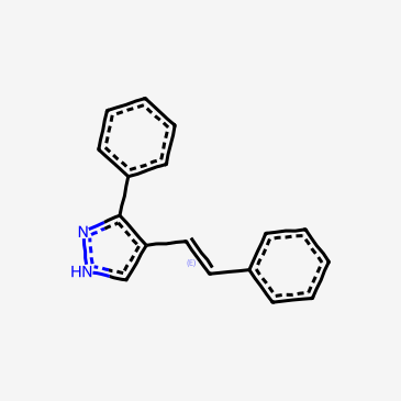 C(=C\c1c[nH]nc1-c1ccccc1)/c1ccccc1